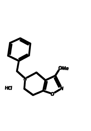 COc1noc2c1CN(Cc1ccccc1)CC2.Cl